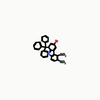 O=[N+]([O-])c1ccc2c(c1[N+](=O)[O-])C1=CC(Br)=CC(C(c3ccccc3)(c3ccccc3)c3ccccc3)C1=N2